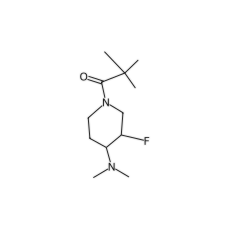 CN(C)C1CCN(C(=O)C(C)(C)C)CC1F